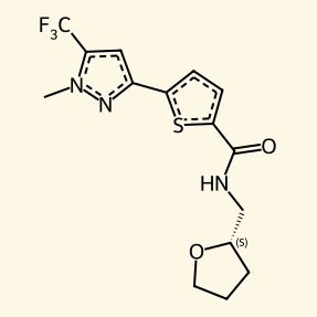 Cn1nc(-c2ccc(C(=O)NC[C@@H]3CCCO3)s2)cc1C(F)(F)F